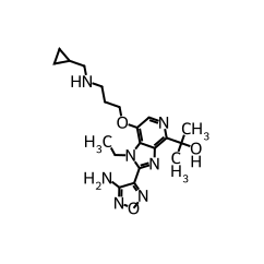 CCn1c(-c2nonc2N)nc2c(C(C)(C)O)ncc(OCCCNCC3CC3)c21